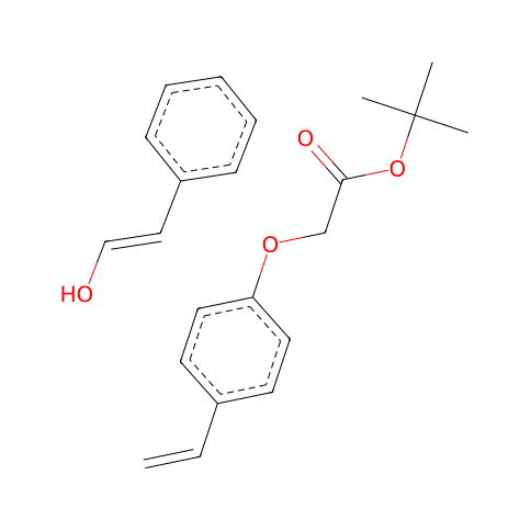 C=Cc1ccc(OCC(=O)OC(C)(C)C)cc1.OC=Cc1ccccc1